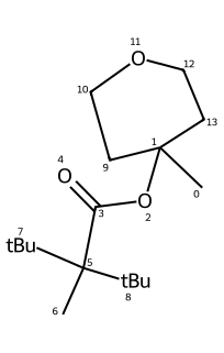 CC1(OC(=O)C(C)(C(C)(C)C)C(C)(C)C)CCOCC1